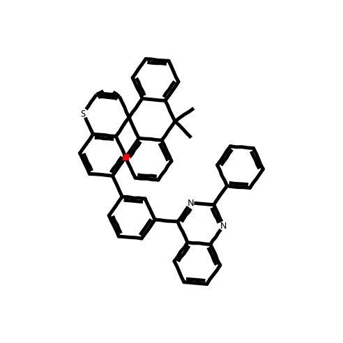 CC1(C)c2ccccc2C2(c3ccccc3Sc3ccc(-c4cccc(-c5nc(-c6ccccc6)nc6ccccc56)c4)cc32)c2ccccc21